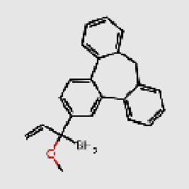 BC(C=C)(OC)c1ccc2c(c1)-c1ccccc1Cc1ccccc1-2